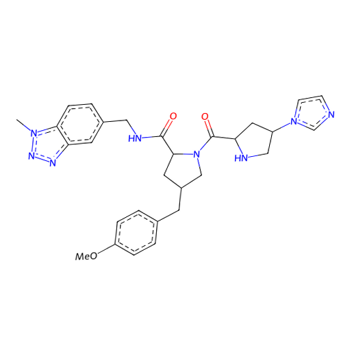 COc1ccc(CC2CC(C(=O)NCc3ccc4c(c3)nnn4C)N(C(=O)C3CC(n4ccnc4)CN3)C2)cc1